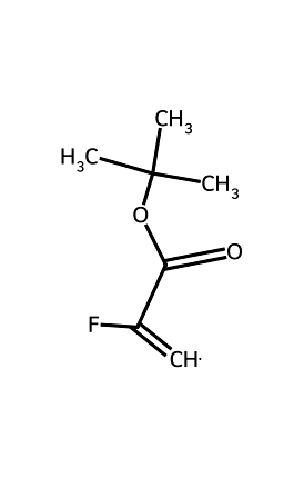 [CH]=C(F)C(=O)OC(C)(C)C